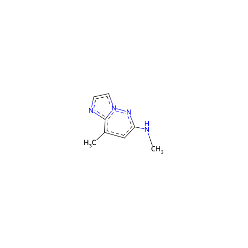 CNc1cc(C)c2nccn2n1